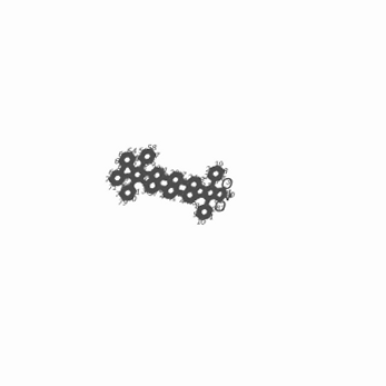 CN1C(=O)c2c(c(-c3ccccc3)c3c(c2-c2ccccc2)-c2ccc4c5ccc6c7ccc8c9c(ccc(c%10ccc(c%11ccc-3c2c4%11)c5c6%10)c97)-c2c-8c(-c3ccccc3)c3c4ccccc4c4ccccc4c3c2-c2ccccc2)C1=O